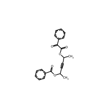 CC(C#CC(C)OC(=O)c1ccccc1)OC(=O)C(=O)c1ccccc1